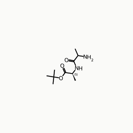 CC(N)C(=O)N[C@@H](C)C(=O)OC(C)(C)C